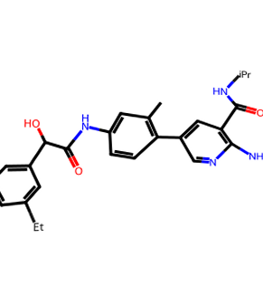 CCc1cccc(C(O)C(=O)Nc2ccc(-c3cnc(N)c(C(=O)NC(C)C)c3)c(C)c2)c1